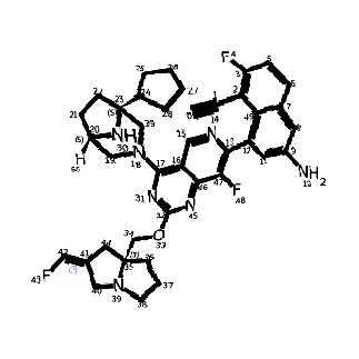 C#Cc1c(F)ccc2cc(N)cc(-c3ncc4c(N5C[C@@H]6CC[C@](C7CCCC7)(C5)N6)nc(OC[C@@]56CCCN5C/C(=C\F)C6)nc4c3F)c12